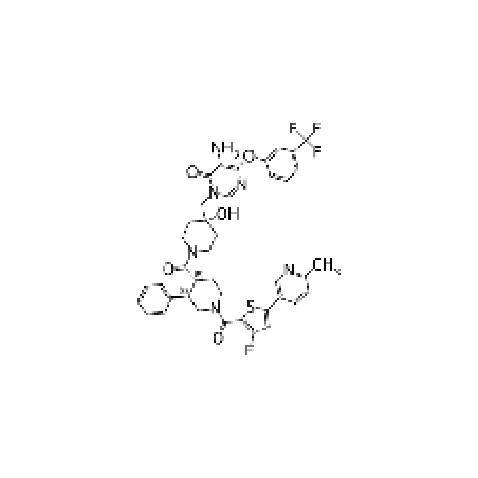 Cc1ccc(-c2cc(F)c(C(=O)N3CC[C@@H](C(=O)N4CCC(O)(Cn5cnc(Oc6cccc(C(F)(F)F)c6)c(N)c5=O)CC4)[C@H](c4ccccc4)C3)s2)cn1